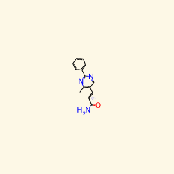 Cc1nc(-c2ccccc2)ncc1/C=C/C(N)=O